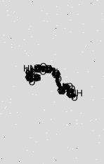 Cn1c(=O)n(C2CCC(=O)NC2=O)c2cccc(C#CCOC3CCN(CC4CCN(S(=O)(=O)N5CCC(Nc6ncc7ccc(=O)n(C8CCCC8)c7n6)CC5)CC4)CC3)c21